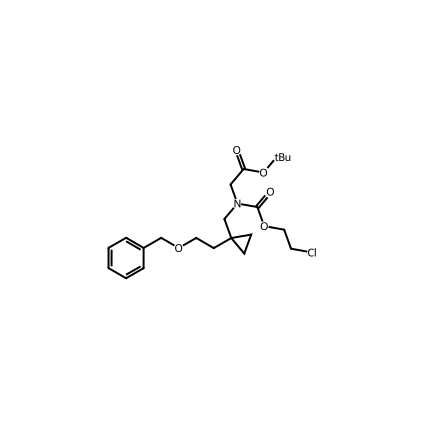 CC(C)(C)OC(=O)CN(CC1(CCOCc2ccccc2)CC1)C(=O)OCCCl